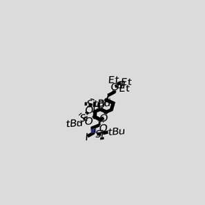 CC[Si](CC)(CC)OCC[C@H]1CCC2O[C@@H](C(/C=C/I)O[Si](C)(C)C(C)(C)C)C(O[Si](C)(C)C(C)(C)C)C(O[Si](C)(C)C(C)(C)C)[C@H]2O1